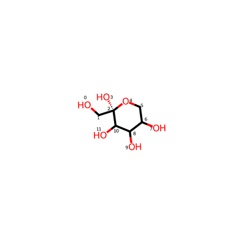 OC[C@@]1(O)OCC(O)C(O)C1O